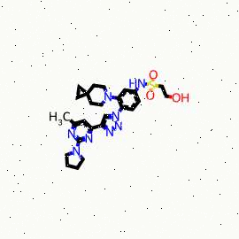 Cc1cc(-c2cn(-c3ccc(NS(=O)(=O)CCO)cc3N3CCC4(CC3)CC4)nn2)nc(N2CCCC2)n1